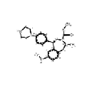 CNC(=O)N1N=C(c2ccc(N3CCOCC3)cc2)c2cc(OC)ccc2C[C@@H]1C